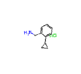 Cl.NCc1ccccc1C1CC1